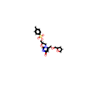 Cc1ccc(S(=O)(=O)OCC2Cn3c(COCC4CCCO4)cc(=O)nc3O2)cc1